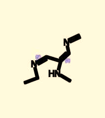 C=N/C=C(\C=N/CC)NC